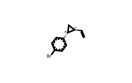 C=C[C@@H]1C[C@H]1c1ccc(Br)cc1